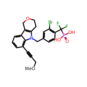 COCC#Cc1cccc2c3c(n(Cc4ccc(C(F)(F)P(=O)(O)O)c(Br)c4)c12)CCOC3